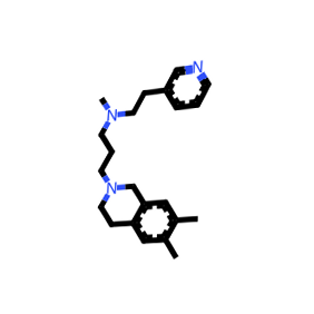 Cc1cc2c(cc1C)CN(CCCN(C)CCc1cccnc1)CC2